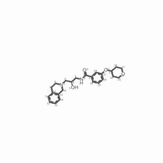 O=C(NC[C@@H](O)CN1CCc2ccccc2C1)c1cccc(OC2CCOCC2)c1